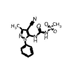 Cc1nn(-c2ccccc2)c(NC(=O)NS(C)(=O)=O)c1C#N